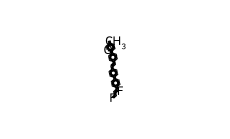 CC1CCC(C2CCC(/C=C/C3CCC(C4CCC(/C(F)=C/CF)CC4)CC3)CC2)OC1